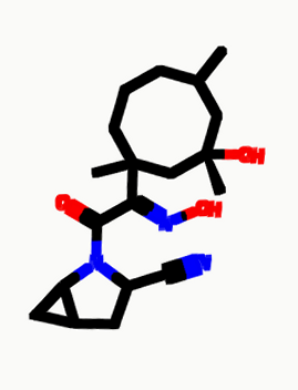 CC1CCCC(C)(/C(=N\O)C(=O)N2C(C#N)CC3CC32)C[C@@](C)(O)C1